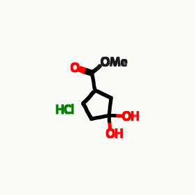 COC(=O)C1CCC(O)(O)C1.Cl